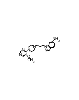 COc1cncnc1N1CCN(CCCn2ncc3ccc(N)cc32)CC1